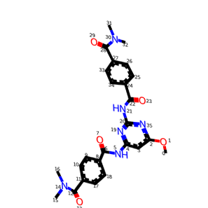 COc1cc(NC(=O)c2ccc(C(=O)N(C)C)cc2)nc(NC(=O)c2ccc(C(=O)N(C)C)cc2)n1